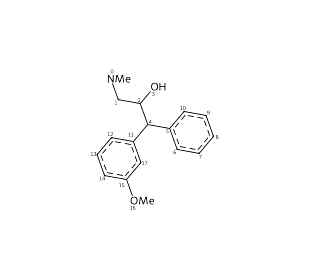 CNCC(O)C(c1ccccc1)c1cccc(OC)c1